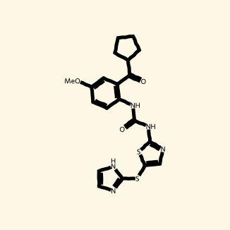 COc1ccc(NC(=O)Nc2ncc(Sc3ncc[nH]3)s2)c(C(=O)C2CCCC2)c1